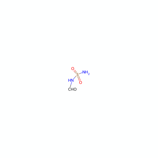 NS(=O)(=O)NC=O